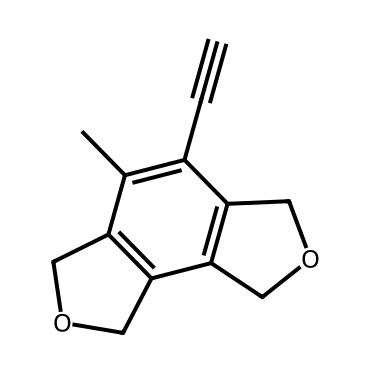 C#Cc1c(C)c2c(c3c1COC3)COC2